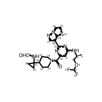 C[C@@H](COC(F)F)Nc1cc(C(=O)N2CCC(C3(NC=O)CC3)CC2)nc(-c2cnn3ccsc23)n1